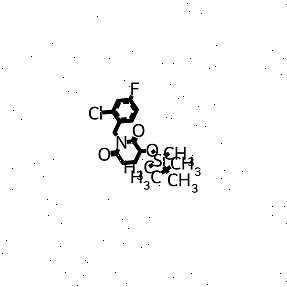 CC(C)(C)[Si](C)(C)OC1CCC(=O)N(Cc2ccc(F)cc2Cl)C1=O